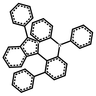 c1ccc(-c2cccc(N(c3ccccc3)c3ccccc3)c2-c2oc(-c3ccccc3)c3ccccc23)cc1